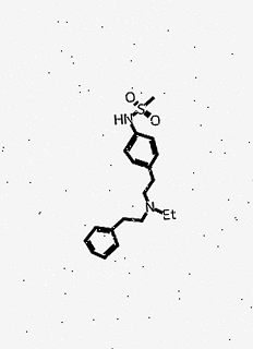 CCN(CCc1ccccc1)CCc1ccc(NS(C)(=O)=O)cc1